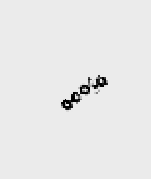 O=C(NC1CCC(N2CC=C(c3ccccc3)CC2)CC1)c1cccnc1